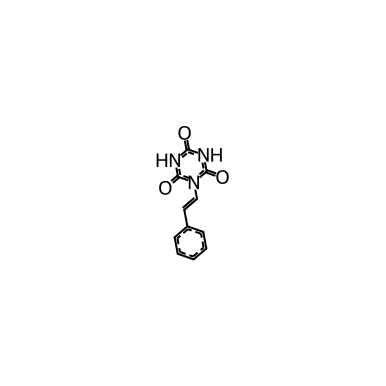 O=c1[nH]c(=O)n(C=Cc2ccccc2)c(=O)[nH]1